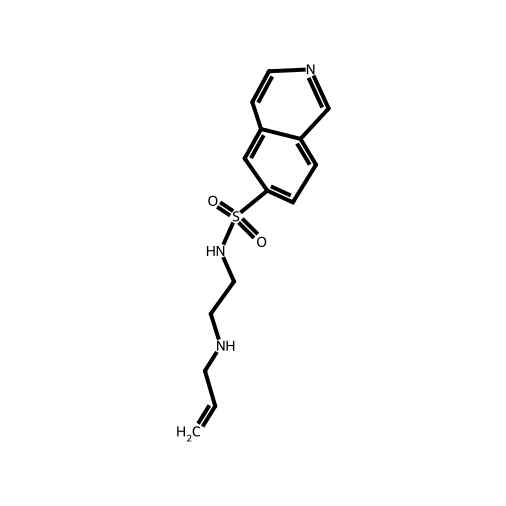 C=CCNCCNS(=O)(=O)c1ccc2cnccc2c1